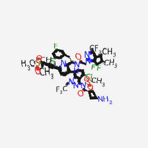 C[C@@H]1c2c(C(F)(F)F)nn(CC(=O)N[C@@H](Cc3cc(F)cc(F)c3)c3nc(C#CC(C)(C)S(C)(=O)=O)ccc3-c3ccc(Cl)c4c(N(C(=O)[C@H]5C[C@@H](N)C5)S(C)(=O)=O)nn(CC(F)(F)F)c34)c2C(F)(F)[C@@H]1C